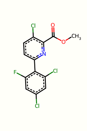 COC(=O)c1nc(-c2c(F)cc(Cl)cc2Cl)ccc1Cl